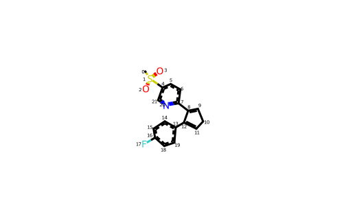 CS(=O)(=O)c1ccc(C2=CCC=C2c2ccc(F)cc2)nc1